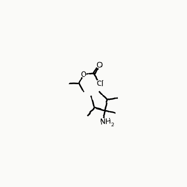 CC(C)C(C)(N)C(C)C.CC(C)OC(=O)Cl